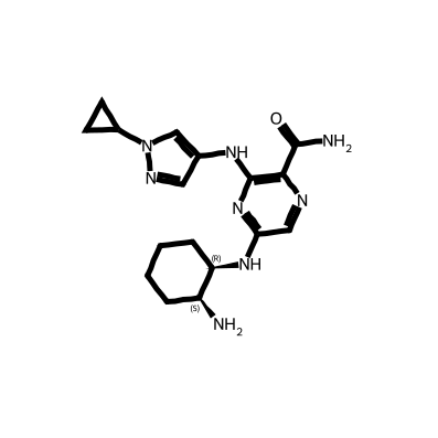 NC(=O)c1ncc(N[C@@H]2CCCC[C@@H]2N)nc1Nc1cnn(C2CC2)c1